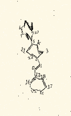 C(=Cc1ccc(-n2ccnc2)cc1)c1ccccc1